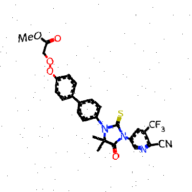 COC(=O)COOc1ccc(-c2ccc(N3C(=S)N(c4cnc(C#N)c(C(F)(F)F)c4)C(=O)C3(C)C)cc2)cc1